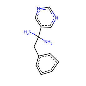 NC(N)(Cc1ccccc1)c1cncnc1